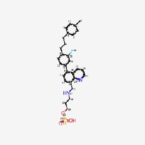 Cc1ccc(CCCc2ccc(-c3ccc(CNCCCO[PH](=O)O)c4ncccc34)cc2F)cc1